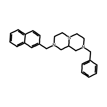 c1ccc(CN2CCN3CCN(Cc4ccc5ccccc5c4)CC3C2)cc1